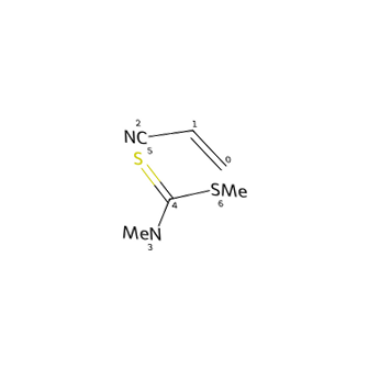 C=CC#N.CNC(=S)SC